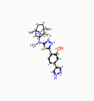 CN(c1nnc(-c2ccc(-c3cn[nH]c3)cc2O)s1)[C@H]1C[C@@H]2CC[C@H]([C@H]1F)N2C